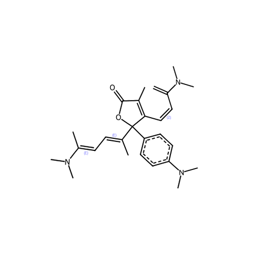 C=C(/C=C\C1=C(C)C(=O)OC1(/C(C)=C/C=C(\C)N(C)C)c1ccc(N(C)C)cc1)N(C)C